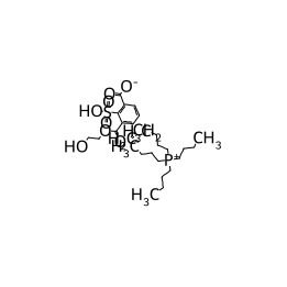 C=C.CCCC[P+](CCCC)(CCCC)CCCC.O=C([O-])c1cccc(C(=O)OCCO)c1S(=O)(=O)O